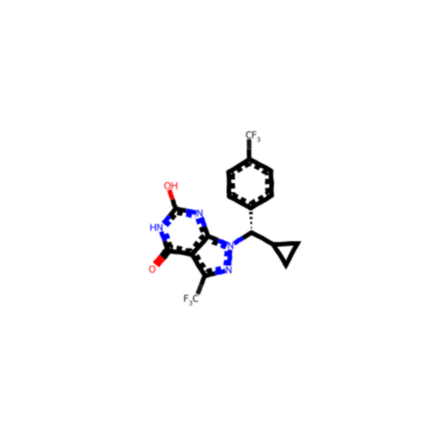 O=c1[nH]c(O)nc2c1c(C(F)(F)F)nn2[C@H](c1ccc(C(F)(F)F)cc1)C1CC1